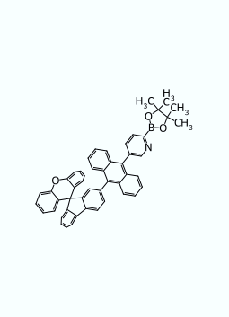 CC1(C)OB(c2ccc(-c3c4ccccc4c(-c4ccc5c(c4)C4(c6ccccc6Oc6ccccc64)c4ccccc4-5)c4ccccc34)cn2)OC1(C)C